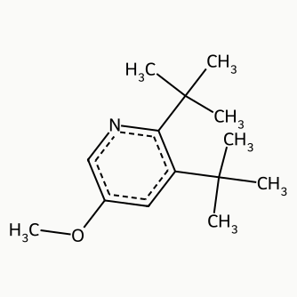 COc1cnc(C(C)(C)C)c(C(C)(C)C)c1